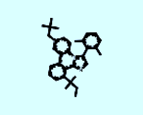 CCC(C)(C)c1cccc2c3cc(CC(C)(C)C)ccc3n3c(-c4c(C)cccc4C)cnc3c12